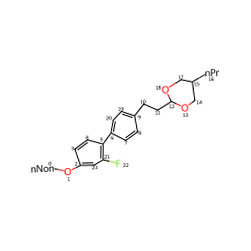 CCCCCCCCCOc1ccc(-c2ccc(CCC3OCC(CCC)CO3)cc2)c(F)c1